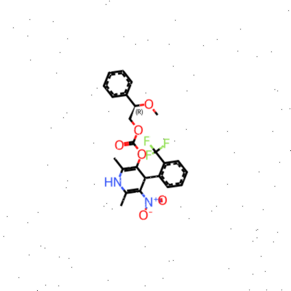 CO[C@@H](COC(=O)OC1=C(C)NC(C)=C([N+](=O)[O-])C1c1ccccc1C(F)(F)F)c1ccccc1